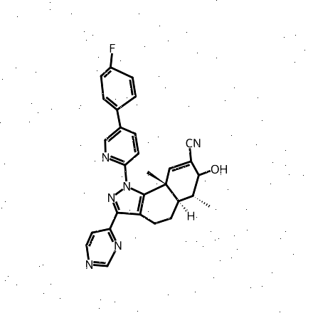 C[C@H]1C(O)C(C#N)=C[C@@]2(C)c3c(c(-c4ccncn4)nn3-c3ccc(-c4ccc(F)cc4)cn3)CC[C@H]12